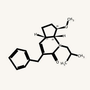 CO[C@@H]1CC[C@H]2C=C(Cc3ccccc3)C(=O)N(CC(C)C)[C@H]21